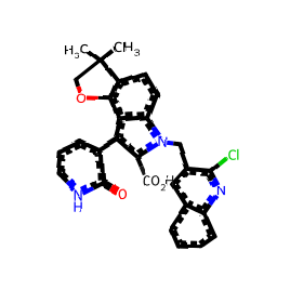 CC1(C)COc2c1ccc1c2c(-c2ccc[nH]c2=O)c(C(=O)O)n1Cc1cc2ccccc2nc1Cl